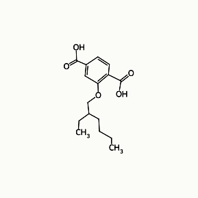 CCCCC(CC)COc1cc(C(=O)O)ccc1C(=O)O